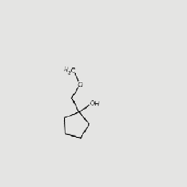 COCC1(O)CCCC1